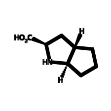 O=C(O)[C@H]1C[C@@H]2CCC[C@H]2N1